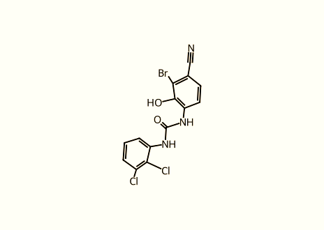 N#Cc1ccc(NC(=O)Nc2cccc(Cl)c2Cl)c(O)c1Br